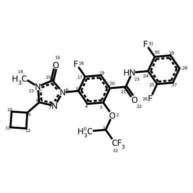 CC(Oc1cc(-n2nc(C3CCC3)n(C)c2=O)c(F)cc1C(=O)Nc1c(F)cccc1F)C(F)(F)F